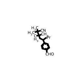 CC(C)C(CC(C)(C)C(C)(C)C#N)c1ccc(C=O)cc1